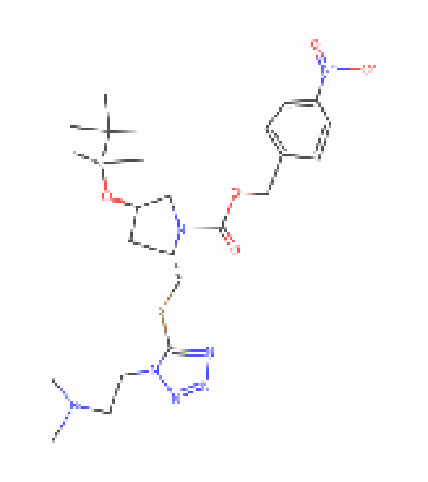 CN(C)CCn1nnnc1SC[C@@H]1C[C@@H](O[Si](C)(C)C(C)(C)C)CN1C(=O)OCc1ccc([N+](=O)[O-])cc1